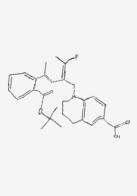 C/C(F)=C(\C=C(/C)c1ccccc1C(=O)OC(C)(C)C)CN1CCCc2cc(C(=O)O)ccc21